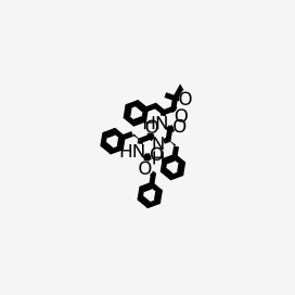 CC1(C(=O)C(Cc2ccccc2)NC(=O)[C@H](Cc2ccccc2)NC(=O)[C@@H](Cc2ccccc2)NC(=O)OCc2ccccc2)CO1